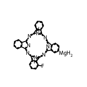 Fc1cccc2c3nc4nc(nc5[nH]c(nc6nc(nc([nH]3)c12)-c1ccccc1-6)c1ccccc51)-c1ccccc1-4.[MgH2]